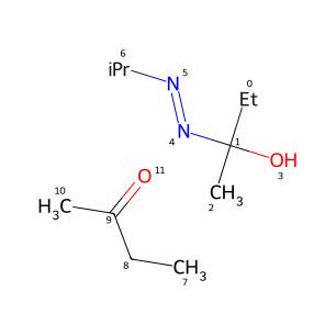 CCC(C)(O)/N=N/C(C)C.CCC(C)=O